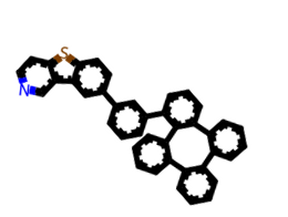 c1cc(-c2ccc3sc4ccncc4c3c2)cc(-c2cccc3c2-c2ccccc2-c2ccccc2-c2ccccc2-3)c1